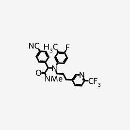 CNC(=O)C(c1ccc(C#N)cc1)N(CCCc1ccc(C(F)(F)F)nc1)c1ccc(F)c(C)c1